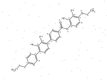 CCCc1ccc(-c2ccc(-c3ccc(C(=O)Oc4ccc(OCC)c(F)c4F)cc3)c(F)c2F)cc1